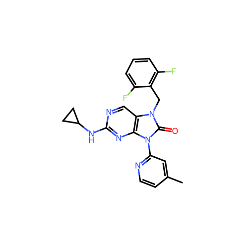 Cc1ccnc(-n2c(=O)n(Cc3c(F)cccc3F)c3cnc(NC4CC4)nc32)c1